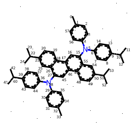 Cc1ccc(N(c2ccc(C(C)C)cc2)c2cc3c4ccc(C(C)C)cc4c(N(c4ccc(C)cc4)c4ccc(C(C)C)cc4)cc3c3ccc(C(C)C)cc23)cc1